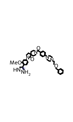 COc1cc(N2CCC3(CCN(C(=O)c4ccc(N5CCN(CCOCc6ccccc6)CC5)cc4)CC3)C2=O)ccc1/C(C=N)=C/N